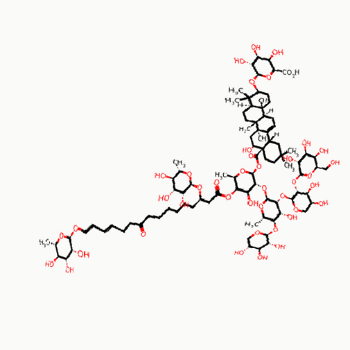 C[C@@H]1O[C@@H](OCCCCCCC(=O)CCCCCC[C@H](CC(=O)O[C@@H]2[C@H](O)[C@@H](O[C@@H]3O[C@@H](C)[C@H](O[C@@H]4OC[C@@H](O)[C@H](O)[C@H]4O)[C@@H](O)[C@H]3O[C@@H]3OC[C@H](O)[C@H](O)[C@H]3O[C@@H]3O[C@H](CO)[C@H](O)[C@H](O)[C@H]3O)[C@H](OC(=O)[C@]34CCC(C)(C)C[C@H]3C3=CC[C@@H]5[C@@]6(C)CC[C@H](O[C@@H]7O[C@H](C(=O)O)[C@H](O)[C@H](O)[C@H]7O)C(C)(C)[C@@H]6CC[C@@]5(C)[C@]3(C)C[C@H]4O)O[C@@H]2C)O[C@@H]2O[C@@H](C)[C@H](O)[C@@H](O)[C@H]2O)[C@H](O)[C@H](O)[C@H]1O